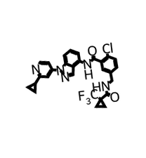 O=C(Nc1cccc2c1cnn2-c1ccnc(C2CC2)c1)c1cc(CNC(=O)C2(C(F)(F)F)CC2)ccc1Cl